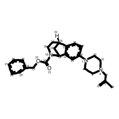 C=C(C)CN1CCN(c2ccc3c(c2)C2C[C@@H]3CCN2C(=O)OCc2ccccc2)CC1